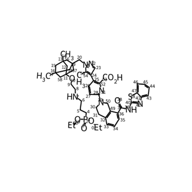 CCOP(=O)(CCCNCCOC12CC3(C)CC(C)(CC(Cn4ncc(-c5ccc(N6CCc7cccc(C(=O)Nc8nc9ccccc9s8)c7C6)nc5C(=O)O)c4C)(C3)C1)C2)OCC